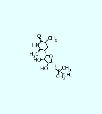 C=C1NC(=O)C(C)CC1[C@@H]1O[C@H](CCP(=C)(C)C)[C@@H](O)[C@H]1O